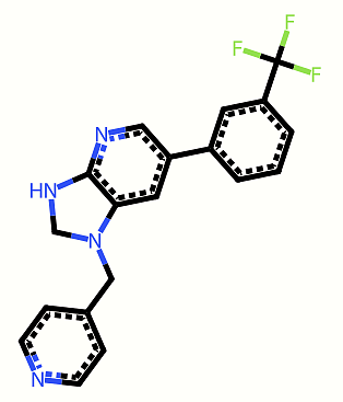 FC(F)(F)c1cccc(-c2cnc3c(c2)N(Cc2ccncc2)CN3)c1